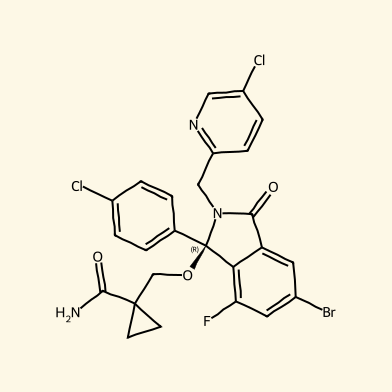 NC(=O)C1(CO[C@]2(c3ccc(Cl)cc3)c3c(F)cc(Br)cc3C(=O)N2Cc2ccc(Cl)cn2)CC1